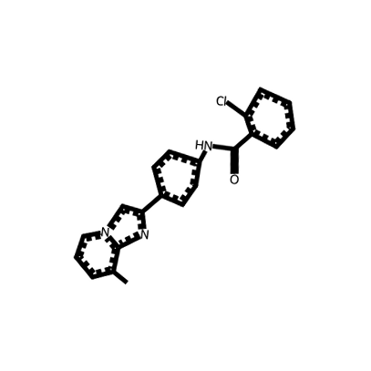 Cc1cccn2cc(-c3ccc(NC(=O)c4ccccc4Cl)cc3)nc12